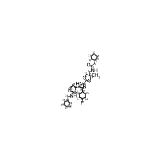 CC1(CNC(=O)Cc2ccccc2)COC(c2nc(-c3ccc(F)cc3)c(-c3ccnc(NCc4cccnc4)n3)[nH]2)OC1